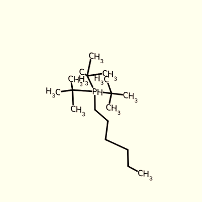 CCCCCC[PH](C(C)(C)C)(C(C)(C)C)C(C)(C)C